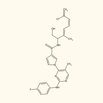 C=C(Cl)/C=C\C=C(/C)C(CO)NC(=O)c1ccn(-c2nc(Nc3ccc(F)cc3)ncc2C)c1